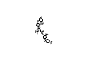 COc1cc(P2(=O)CCC(N(C)C)CC2)ccc1NCC#Cc1sc2c(N[C@H]3CCN(C)C[C@H]3F)cccc2c1CC(F)(F)F